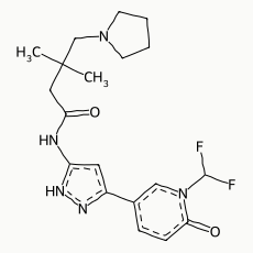 CC(C)(CC(=O)Nc1cc(-c2ccc(=O)n(C(F)F)c2)n[nH]1)CN1CCCC1